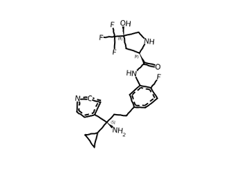 N[C@](CCc1ccc(F)c(NC(=O)[C@H]2C[C@](O)(C(F)(F)F)CN2)c1)(c1ccncc1)C1CC1